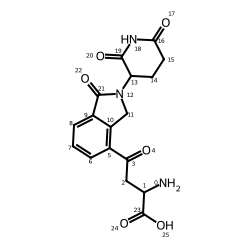 NC(CC(=O)c1cccc2c1CN(C1CCC(=O)NC1=O)C2=O)C(=O)O